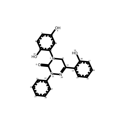 O=C1N(c2cc(O)ccc2O)CC(c2ccccc2O)=NN1c1ccccc1